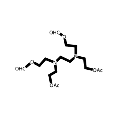 CC(=O)OCCN(CCOC=O)CCN(CCOC=O)CCOC(C)=O